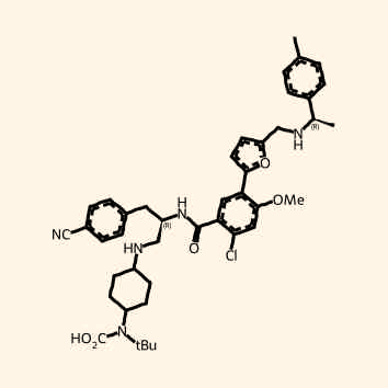 COc1cc(Cl)c(C(=O)N[C@@H](CNC2CCC(N(C(=O)O)C(C)(C)C)CC2)Cc2ccc(C#N)cc2)cc1-c1ccc(CN[C@H](C)c2ccc(C)cc2)o1